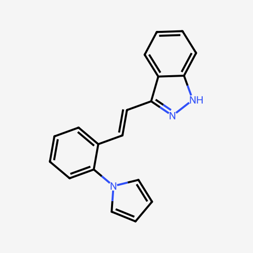 C(=Cc1n[nH]c2ccccc12)c1ccccc1-n1cccc1